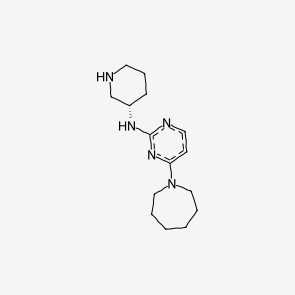 c1cc(N2CCCCCC2)nc(N[C@H]2CCCNC2)n1